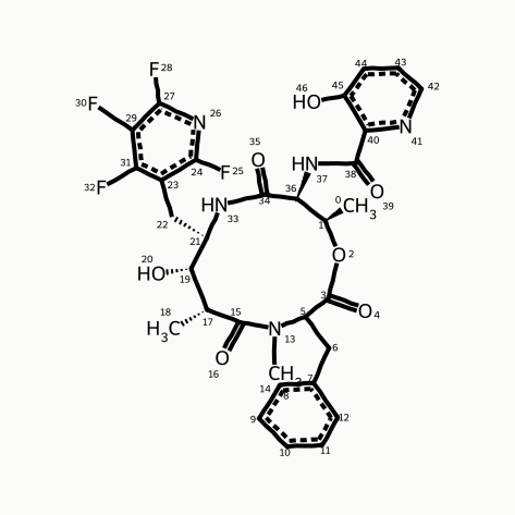 C[C@H]1OC(=O)C(Cc2ccccc2)N(C)C(=O)[C@H](C)[C@H](O)[C@H](Cc2c(F)nc(F)c(F)c2F)NC(=O)[C@H]1NC(=O)c1ncccc1O